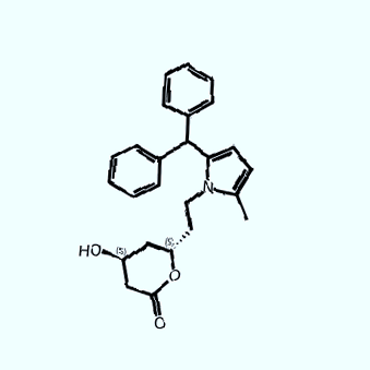 Cc1ccc(C(c2ccccc2)c2ccccc2)n1CC[C@H]1C[C@H](O)CC(=O)O1